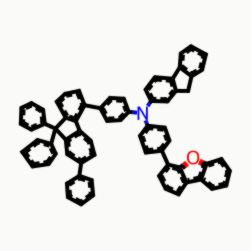 c1ccc(-c2ccc3c(c2)C(c2ccccc2)(c2ccccc2)c2cccc(-c4ccc(N(c5ccc(-c6cccc7c6oc6ccccc67)cc5)c5ccc6c(c5)Cc5ccccc5-6)cc4)c2-3)cc1